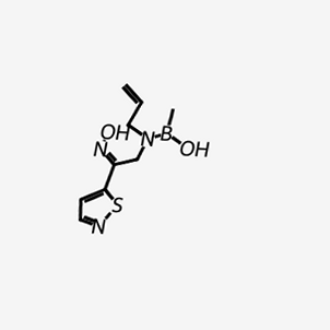 C=CCN(CC(=NO)c1ccns1)B(C)O